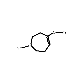 CCCN1CCC=C(OCC)CC1